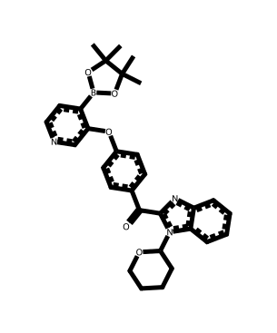 CC1(C)OB(c2ccncc2Oc2ccc(C(=O)c3nc4ccccc4n3C3CCCCO3)cc2)OC1(C)C